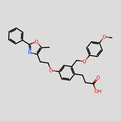 COc1ccc(OCc2cc(OCCc3nc(-c4ccccc4)oc3C)ccc2CCC(=O)O)cc1